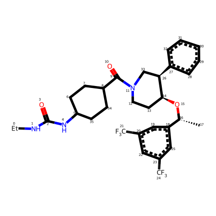 CCNC(=O)NC1CCC(C(=O)N2CC[C@H](O[C@H](C)c3cc(C(F)(F)F)cc(C(F)(F)F)c3)[C@H](c3ccccc3)C2)CC1